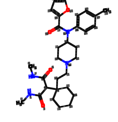 CNC(=O)C(C(=O)NC)C1(CCN2CCC(N(C(=O)c3ccco3)c3ccc(C)cc3)CC2)CCCCC1